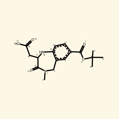 CN1Cc2cc(C(=O)OC(C)(C)C)ccc2NC(CC(=O)O)C1=O